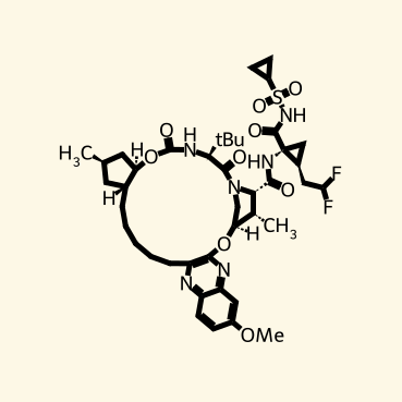 COc1ccc2nc3c(nc2c1)O[C@H]1CN(C(=O)[C@H](C(C)(C)C)NC(=O)O[C@@H]2C[C@H](C)C[C@H]2CCCCC3)[C@H](C(=O)N[C@]2(C(=O)NS(=O)(=O)C3CC3)C[C@H]2CC(F)F)[C@@H]1C